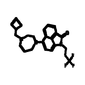 O=C1c2cccc3c(N4CCCN(CC5CCC5)CC4)ccc(c23)N1CCC(F)(F)F